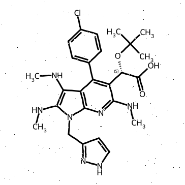 CNc1nc2c(c(NC)c(NC)n2Cc2cc[nH]n2)c(-c2ccc(Cl)cc2)c1[C@H](OC(C)(C)C)C(=O)O